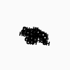 CC1(C)[C@@H](O[C@@H]2O[C@@H](C(=O)O)[C@H](O)[C@@H](O)[C@@H]2O[C@H]2O[C@@H](C(=O)O)[C@H](O)[C@@H](O)[C@@H]2O)CC[C@]2(C)[C@@H]1CC[C@@]1(C)[C@H]2C(=O)C=C2[C@H]3C[C@@](C)(C(=O)O)CC[C@@]3(C)CC[C@@]21C